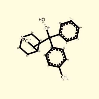 Cc1ccc(C(O)(c2ccccc2)C2CN3CCC2CC3)cc1.Cl